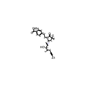 CCC#CC[C@@H](C)[C@H](O)/C=C/[C@H]1CC(F)(F)C(=O)N1CCc1ccc(C(=O)OC)cc1